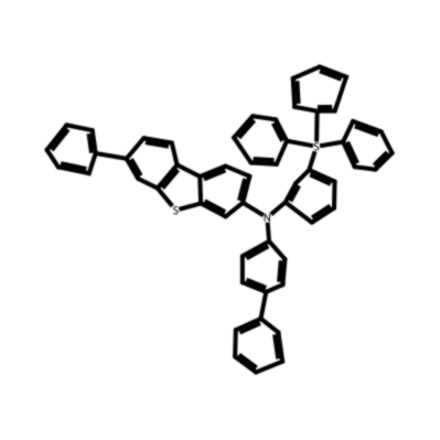 c1ccc(-c2ccc(N(c3cccc(S(c4ccccc4)(c4ccccc4)c4ccccc4)c3)c3ccc4c(c3)sc3cc(-c5ccccc5)ccc34)cc2)cc1